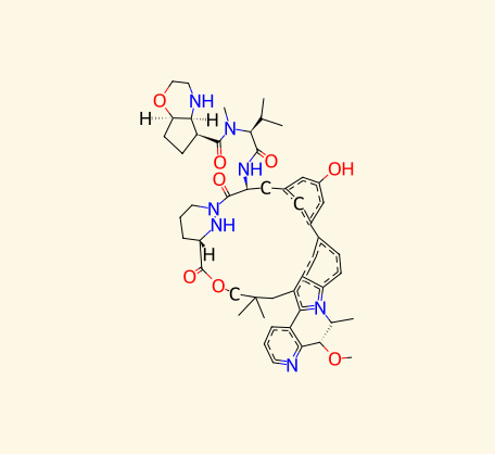 CCn1c(-c2cccnc2[C@H](C)OC)c2c3cc(ccc31)-c1cc(O)cc(c1)C[C@H](NC(=O)[C@H](C(C)C)N(C)C(=O)[C@H]1CC[C@H]3OCCN[C@@H]13)C(=O)N1CCC[C@H](N1)C(=O)OCC(C)(C)C2